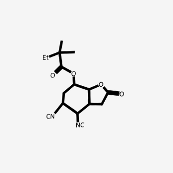 [C-]#[N+]C1CC(OC(=O)C(C)(C)CC)C2OC(=O)CC2C1[N+]#[C-]